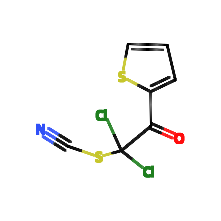 N#CSC(Cl)(Cl)C(=O)c1cccs1